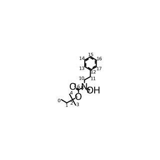 CCC(C)(C)OC(=O)N(O)CCc1ccccc1